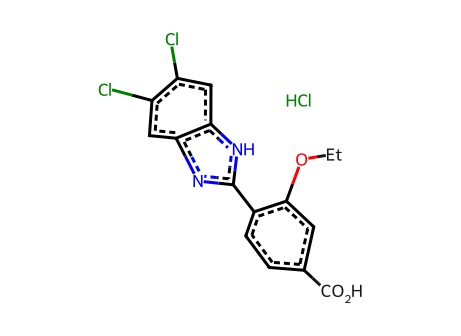 CCOc1cc(C(=O)O)ccc1-c1nc2cc(Cl)c(Cl)cc2[nH]1.Cl